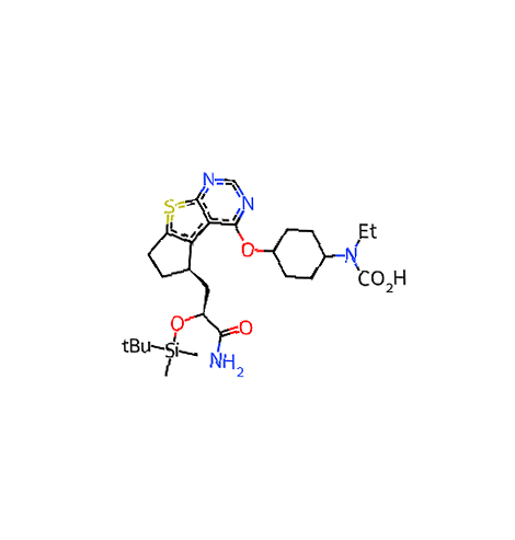 CCN(C(=O)O)C1CCC(Oc2ncnc3sc4c(c23)[C@@H](C[C@H](O[Si](C)(C)C(C)(C)C)C(N)=O)CC4)CC1